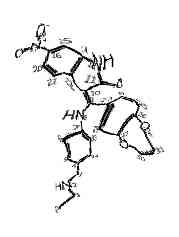 CCNCc1ccc(NC(=C2C(=O)Nc3cc([N+](=O)[O-])ccc32)c2ccc3c(c2)OCCO3)cc1